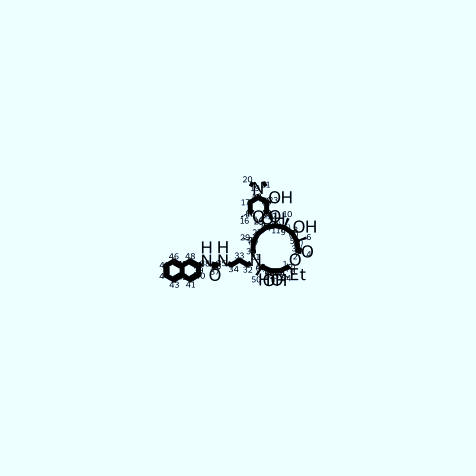 CC[C@H]1OC(=O)[C@H](C)[C@@H](O)[C@H](C)[C@@H](O[C@@H]2O[C@H](C)C[C@H](N(C)C)[C@H]2O)[C@](C)(O)C[C@@H](C)CN(CCCNC(=O)Nc2ccc3ccccc3c2)[C@H](C)[C@@H](O)[C@]1(C)O